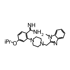 CC(C)Oc1ccc(C(=N)N)c(N2CCN(Cc3nc4ccccc4n3C)CC2)c1